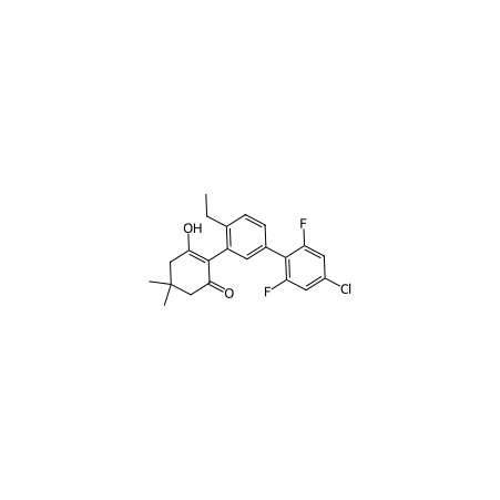 CCc1ccc(-c2c(F)cc(Cl)cc2F)cc1C1=C(O)CC(C)(C)CC1=O